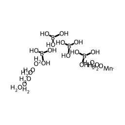 O.O.O.O.O.O.O.O.O.OB(O)O.OB(O)O.OB(O)O.OB(O)O.[Mn]